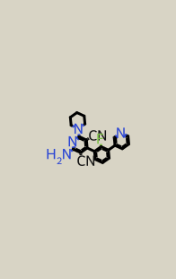 N#Cc1c(N)nc(N2CCCCC2)c(C#N)c1-c1cccc(-c2cccnc2)c1F